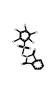 O=C1c2ccccc2C(=O)N1OS(=O)(=O)c1c(Cl)c(Cl)c(Cl)c(Cl)c1Cl